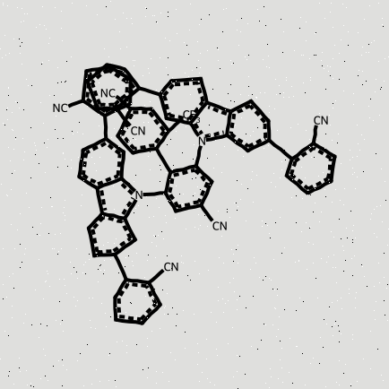 N#Cc1cc(-n2c3cc(-c4ccccc4C#N)ccc3c3ccc(-c4ccccc4C#N)cc32)c(-c2ccc(C#N)cc2C(F)(F)F)c(-n2c3cc(-c4ccccc4C#N)ccc3c3ccc(-c4ccccc4C#N)cc32)c1